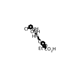 CCc1c(C(=O)O)oc2ccc(OCCCNCCNC(=O)Nc3cccc(Cl)c3)cc12